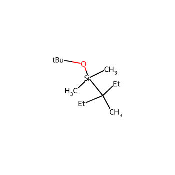 CCC(C)(CC)[Si](C)(C)OC(C)(C)C